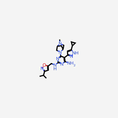 CC(C)c1cc(CNc2nc(N)c(-c3cc(C4CC4)[nH]n3)c(N3CC4CC3CN4C)n2)on1